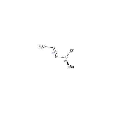 CC(C)(C)[S@+]([O-])/N=C/C(F)(F)F